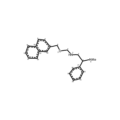 CNC(CNCOCc1ccc2ccccc2c1)c1ccccc1